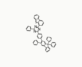 c1ccc(-c2nc(-c3ccc(-c4cc5c(cc4-c4ccccc4)-c4ccccc4C5(c4ccccc4)c4ccccc4)cc3)nc(-c3cccc4c3sc3ccccc34)n2)cc1